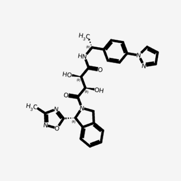 Cc1noc([C@H]2c3ccccc3CN2C(=O)[C@H](O)[C@@H](O)C(=O)N[C@H](C)c2ccc(-n3cccn3)cc2)n1